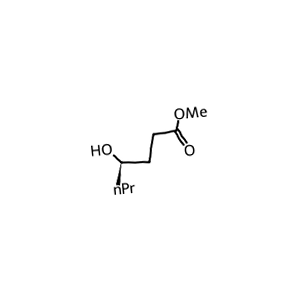 C[CH]C[C@@H](O)CCC(=O)OC